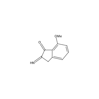 COc1cccc2c1C(=O)C(=N)C2